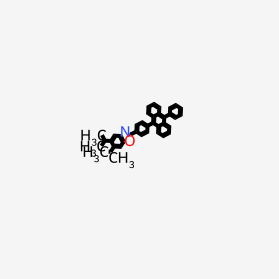 CC(C)c1cc2nc(-c3ccc(-c4c5ccccc5c(-c5ccccc5)c5ccccc45)cc3)oc2cc1C(C)C